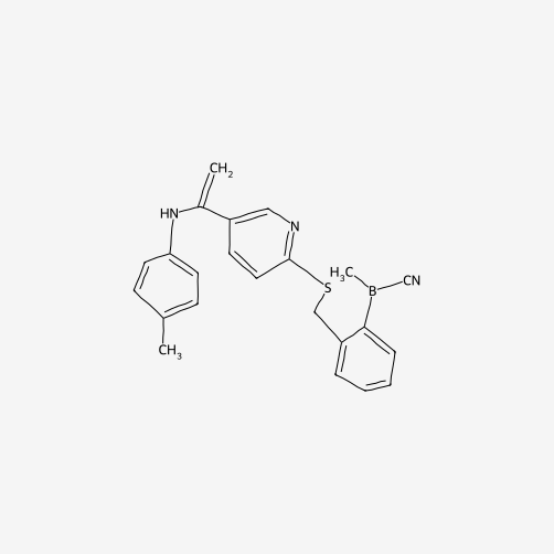 C=C(Nc1ccc(C)cc1)c1ccc(SCc2ccccc2B(C)C#N)nc1